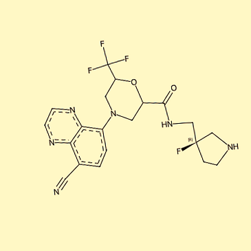 N#Cc1ccc(N2CC(C(=O)NC[C@@]3(F)CCNC3)OC(C(F)(F)F)C2)c2nccnc12